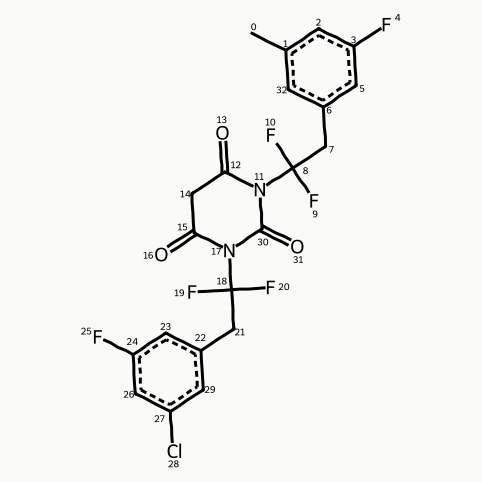 Cc1cc(F)cc(CC(F)(F)N2C(=O)CC(=O)N(C(F)(F)Cc3cc(F)cc(Cl)c3)C2=O)c1